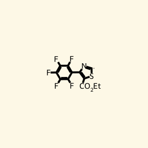 CCOC(=O)c1s[c]nc1-c1c(F)c(F)c(F)c(F)c1F